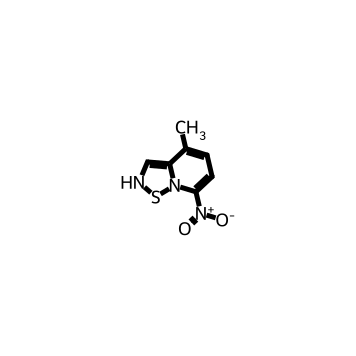 CC1=CC=C([N+](=O)[O-])N2SNC=C12